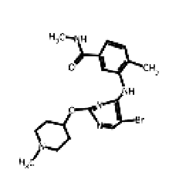 CNC(=O)c1ccc(C)c(Nc2nc(OC3CCN(C)CC3)ncc2Br)c1